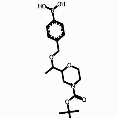 CC(OCc1ccc(B(O)O)cc1)C1CN(C(=O)OC(C)(C)C)CCO1